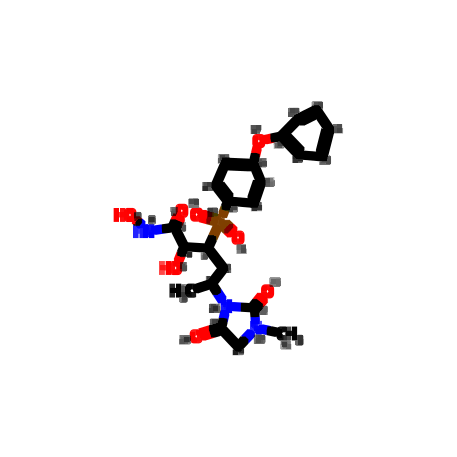 CC(CC(C(O)C(=O)NO)S(=O)(=O)c1ccc(Oc2ccccc2)cc1)N1C(=O)CN(C)C1=O